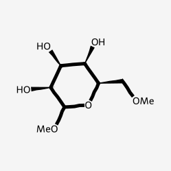 COC[C@H]1OC(OC)[C@@H](O)[C@@H](O)[C@H]1O